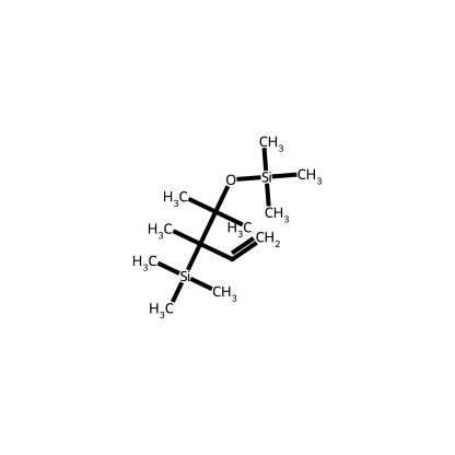 C=CC(C)(C(C)(C)O[Si](C)(C)C)[Si](C)(C)C